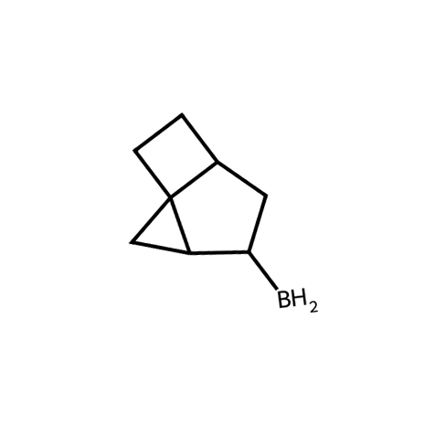 BC1CC2CCC23CC13